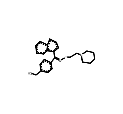 SCc1ccc(/C(=N/OCCN2CCCCC2)c2cccc3ccccc23)cc1